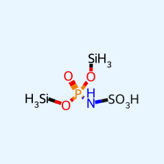 O=P(NS(=O)(=O)O)(O[SiH3])O[SiH3]